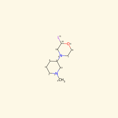 CN1CCCC(N2CCOC(I)C2)C1